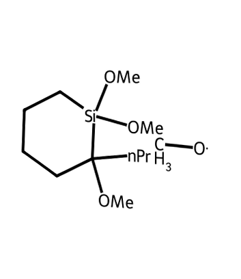 CCCC1(OC)CCCC[Si]1(OC)OC.C[O]